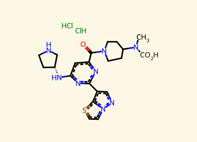 CN(C(=O)O)C1CCN(C(=O)c2cc(N[C@@H]3CCNC3)nc(-c3cnn4ccsc34)n2)CC1.Cl.Cl